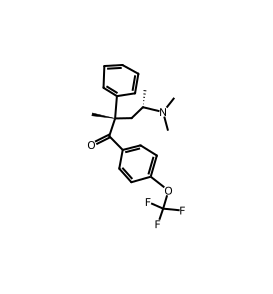 C[C@@H](C[C@](C)(C(=O)c1ccc(OC(F)(F)F)cc1)c1ccccc1)N(C)C